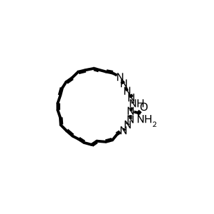 NC(=O)n1nnncccccccccccccccccccccccnnnn[nH]1